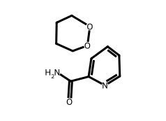 C1CCOOC1.NC(=O)c1ccccn1